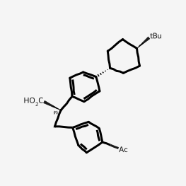 CC(=O)c1ccc(C[C@@H](C(=O)O)c2ccc([C@H]3CC[C@H](C(C)(C)C)CC3)cc2)cc1